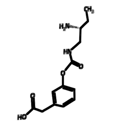 CC[C@@H](N)CNC(=O)Oc1cccc(CC(=O)O)c1